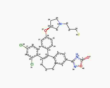 O=c1[nH]c(-c2ccc3c(c2)CCCC(c2ccc(Cl)cc2Cl)=C3c2ccc(O[C@H]3CCN(CCCF)C3)cc2)no1